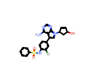 Nc1ncnc2c1c(-c1ccc(NS(=O)(=O)c3ccccc3)c(Cl)c1)cn2C1C=CC(O)C1